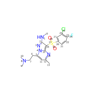 CNc1nn2c(CCN(C)C)cc(C)nc2c1S(=O)(=O)c1ccc(F)c(Cl)c1